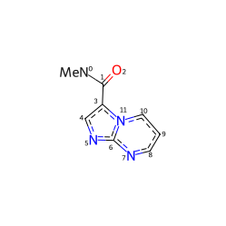 CNC(=O)c1cnc2ncccn12